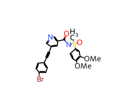 COc1ccc(S(C)(=O)=NC(=O)c2cncc(C#Cc3ccc(Br)cc3)c2)cc1OC